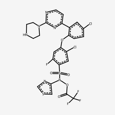 O=C(ON(c1cscn1)S(=O)(=O)c1cc(Cl)c(Oc2ccc(Cl)cc2-c2ccnc(N3CCNCC3)n2)cc1F)C(F)(F)F